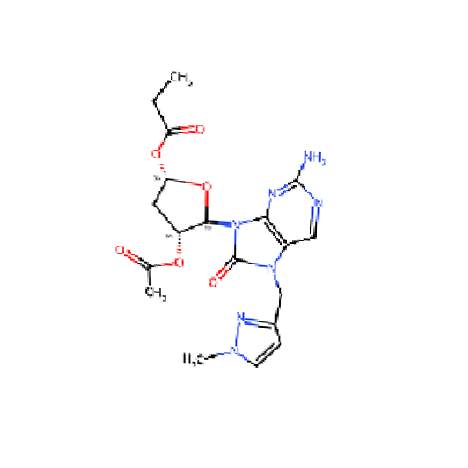 CCC(=O)O[C@H]1C[C@@H](OC(C)=O)[C@H](n2c(=O)n(Cc3ccn(C)n3)c3cnc(N)nc32)O1